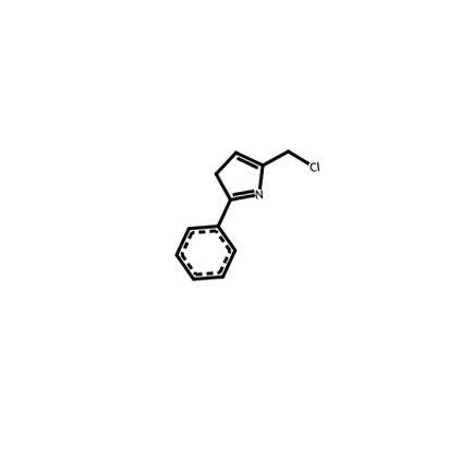 ClCC1=CCC(c2ccccc2)=N1